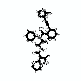 Cc1nn2cccnc2c1C(=O)NC(C)c1nc2cccc(C#Cc3ncsc3C)c2c(=O)n1-c1ccccc1